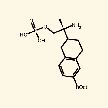 CCCCCCCCc1ccc2c(c1)CCC([C@@](C)(N)COP(=O)(O)O)C2